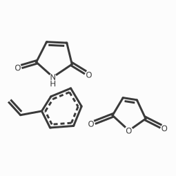 C=Cc1ccccc1.O=C1C=CC(=O)N1.O=C1C=CC(=O)O1